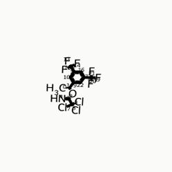 C[C@H](OC(=N)C(Cl)(Cl)Cl)c1cc(C(F)(F)F)cc(C(F)(F)F)c1